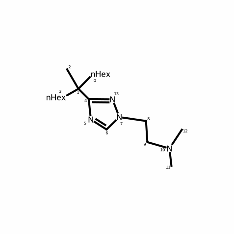 CCCCCCC(C)(CCCCCC)c1ncn(CCN(C)C)n1